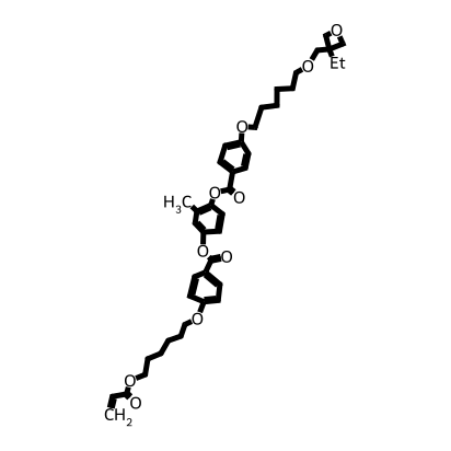 C=CC(=O)OCCCCCCOc1ccc(C(=O)Oc2ccc(OC(=O)c3ccc(OCCCCCCOCC4(CC)COC4)cc3)c(C)c2)cc1